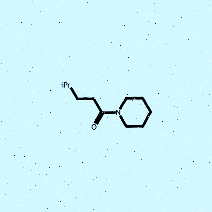 C[C](C)CCC(=O)N1CCCCC1